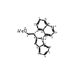 CO/C=C/c1cc2ccccc2n1-c1ccnc2ccccc12